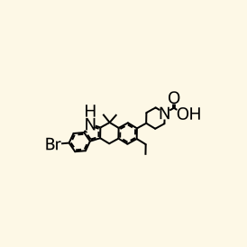 CCc1cc2c(cc1C1CCN(C(=O)O)CC1)C(C)(C)c1[nH]c3cc(Br)ccc3c1C2